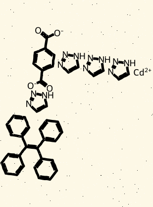 O=C([O-])c1ccc(C(=O)[O-])cc1.[Cd+2].c1c[nH]nn1.c1c[nH]nn1.c1c[nH]nn1.c1c[nH]nn1.c1ccc(C(=C(c2ccccc2)c2ccccc2)c2ccccc2)cc1